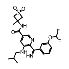 CC(C)CNc1cc(C(=O)NC2(C)CS(=O)(=O)C2)cnc1C(=N)c1cccc(OC(F)F)c1